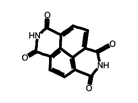 O=C1NC(=O)c2ccc3c4c(ccc1c24)C(=O)NC3=O